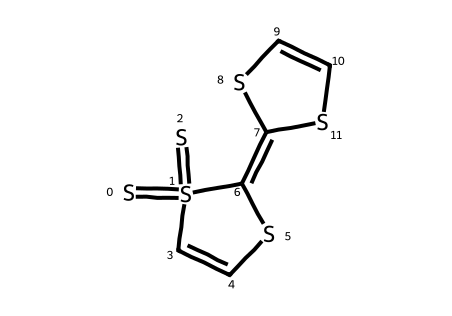 S=S1(=S)C=CSC1=C1SC=CS1